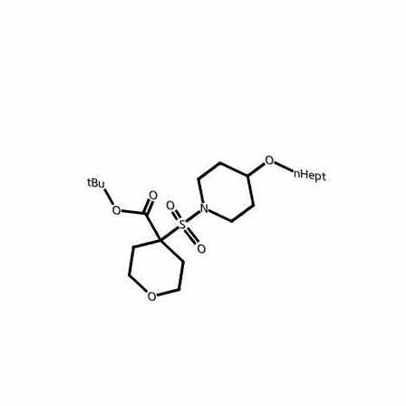 CCCCCCCOC1CCN(S(=O)(=O)C2(C(=O)OC(C)(C)C)CCOCC2)CC1